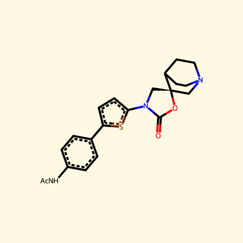 CC(=O)Nc1ccc(-c2ccc(N3C[C@@]4(CN5CCC4CC5)OC3=O)s2)cc1